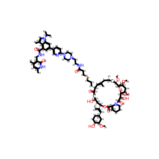 CO[C@H]1C[C@@H](C)C/C(C)=C/[C@@H](CCCSCCC(=O)NCCN2CCN(c3ccc(-c4cc(C(=O)NCc5c(C)cc(C)[nH]c5=O)c5c(C)cn(C(C)C)c5c4)cn3)CC2)C(=O)C[C@H](O)[C@@H](C)[C@@H](/C(C)=C/[C@@H]2CC[C@@H](O)[C@H](OC)C2)OC(=O)[C@@H]2CCCCN2C(=O)C(O)[C@]2(O)O[C@H]1[C@@H](OC)C[C@H]2C